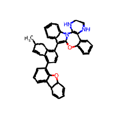 CC1C=Cc2c(-c3cccc4c3OC3C=CC=CC43)ccc(-c3c4n(c5ccccc35)C3=C(NCCN3)c3ccccc3O4)c2C1